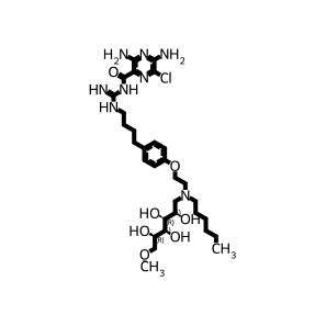 CCCCCCN(CCOc1ccc(CCCCNC(=N)NC(=O)c2nc(Cl)c(N)nc2N)cc1)C[C@H](O)[C@@H](O)[C@@H](O)[C@H](O)COC